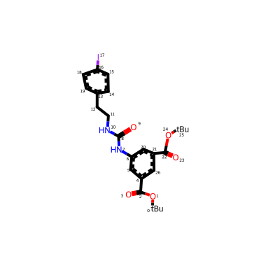 CC(C)(C)OC(=O)c1cc(NC(=O)NCCc2ccc(I)cc2)cc(C(=O)OC(C)(C)C)c1